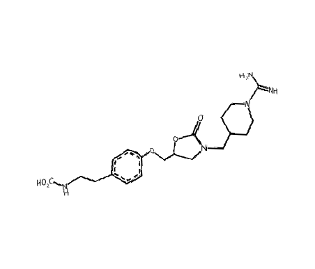 N=C(N)N1CCC(CN2CC(COc3ccc(CCNC(=O)O)cc3)OC2=O)CC1